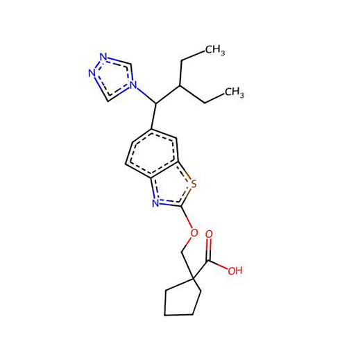 CCC(CC)C(c1ccc2nc(OCC3(C(=O)O)CCCC3)sc2c1)n1cnnc1